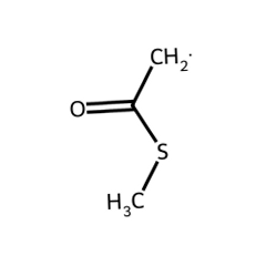 [CH2]C(=O)SC